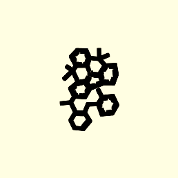 Cc1ccccc1CC1=C(C(C)c2cc3c4c(c2)c2cccc5c2n4-c2c(cccc2C3(C)C)C5(C)C)CCC=C1